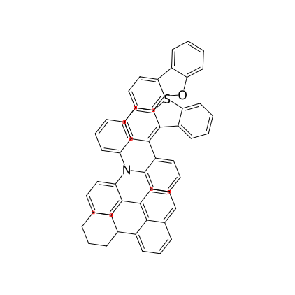 c1cc(-c2ccc3c(c2)oc2ccccc23)cc(N(c2ccccc2-c2cccc3cccc(C4CCCCC4)c23)c2ccccc2-c2cccc3sc4ccccc4c23)c1